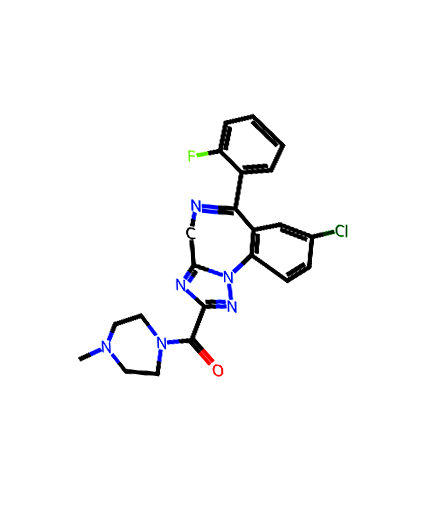 CN1CCN(C(=O)c2nc3n(n2)-c2ccc(Cl)cc2C(c2ccccc2F)=NC3)CC1